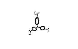 CCC(C)c1ccc(C(c2ccc(C(C)CC)cc2)c2ccc(N(C)C)cc2)cc1